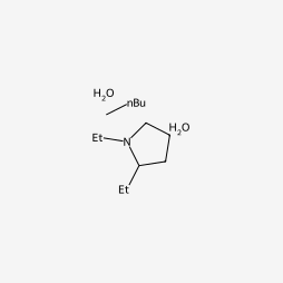 CCC1CCCN1CC.CCCCC.O.O